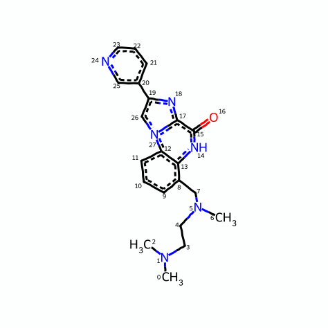 CN(C)CCN(C)Cc1cccc2c1[nH]c(=O)c1nc(-c3cccnc3)cn12